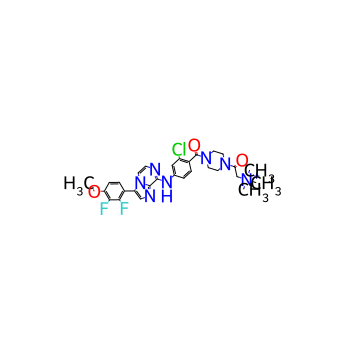 COc1ccc(-c2cnc3c(Nc4ccc(C(=O)N5CCN(C(=O)C[N+](C)(C)C)CC5)c(Cl)c4)nccn23)c(F)c1F